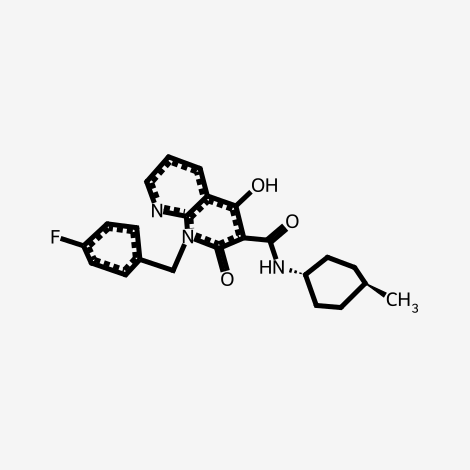 C[C@H]1CC[C@H](NC(=O)c2c(O)c3cccnc3n(Cc3ccc(F)cc3)c2=O)CC1